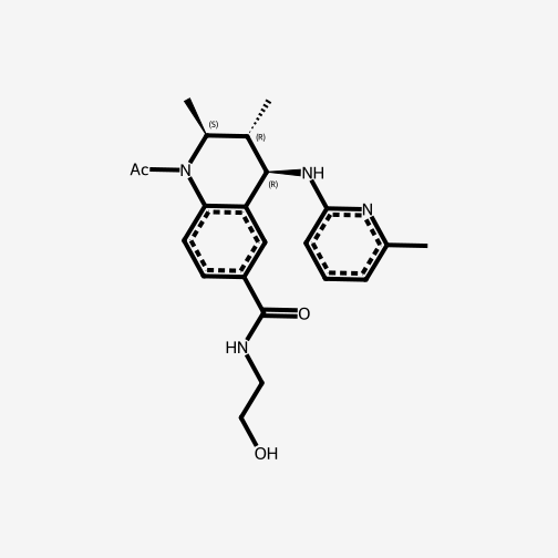 CC(=O)N1c2ccc(C(=O)NCCO)cc2[C@H](Nc2cccc(C)n2)[C@@H](C)[C@@H]1C